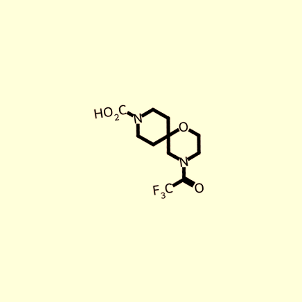 O=C(O)N1CCC2(CC1)CN(C(=O)C(F)(F)F)CCO2